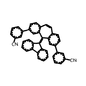 N#Cc1cccc(-c2ccc3c(c2)C(=C2c4ccccc4-c4ccccc42)c2cc(-c4cccc(C#N)c4)ccc2C=C3)c1